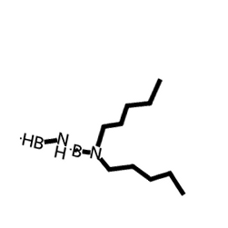 [BH]N[B]N(CCCCC)CCCCC